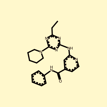 CCc1nc(Nc2cc(C(=O)Nc3ccccc3)ccn2)nc(N2CCCCC2)n1